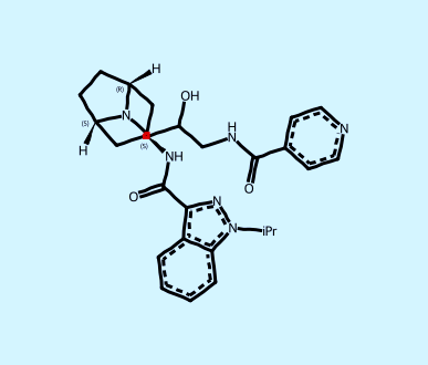 CC(C)n1nc(C(=O)N[C@@H]2C[C@H]3CC[C@@H](C2)N3CC(O)CNC(=O)c2ccncc2)c2ccccc21